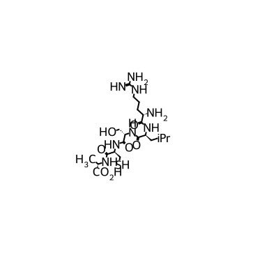 CC(C)C[C@H](NC(=O)[C@@H](N)CCCNC(=N)N)C(=O)N[C@@H](CO)C(=O)N[C@@H](CS)C(=O)N[C@@H](C)C(=O)O